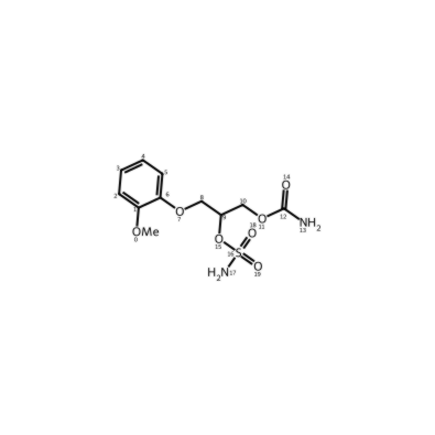 COc1ccccc1OCC(COC(N)=O)OS(N)(=O)=O